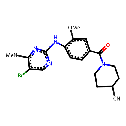 CNc1nc(Nc2ccc(C(=O)N3CCC(C#N)CC3)cc2OC)ncc1Br